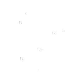 COc1ccc(-c2ccc3ncc(-c4ccco4)c(NCCCn4ccnc4)c3c2)cn1